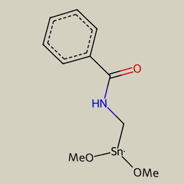 C[O][Sn]([CH2]NC(=O)c1ccccc1)[O]C